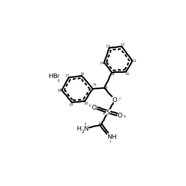 Br.N=C(N)S(=O)(=O)OC(c1ccccc1)c1ccccc1